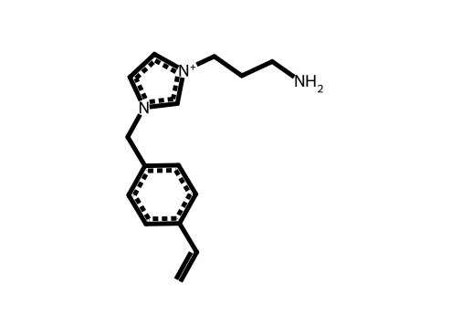 C=Cc1ccc(Cn2cc[n+](CCCN)c2)cc1